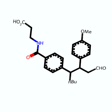 CCCCC(c1ccc(C(=O)NCCC(=O)O)cc1)C(CC=O)c1ccc(OC)cc1